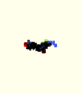 CN1C(=O)CCc2cc(-c3ccn4c(=O)n(CC(CN)=C(F)F)nc4c3)ccc21